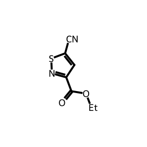 CCOC(=O)c1cc(C#N)sn1